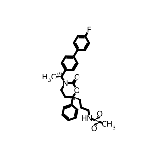 C[C@@H](c1ccc(-c2ccc(F)cc2)cc1)N1CC[C@@](CCCNS(C)(=O)=O)(c2ccccc2)OC1=O